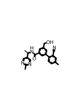 Cc1ccc(-c2cc(CO)cc(C(=O)N[C@H](C)c3cnc(C)nc3)c2)c(C#N)c1